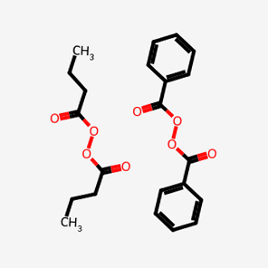 CCCC(=O)OOC(=O)CCC.O=C(OOC(=O)c1ccccc1)c1ccccc1